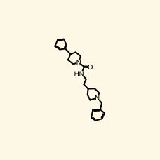 O=C(NCCC1CCN(Cc2ccccc2)CC1)N1CCC(c2ccccc2)CC1